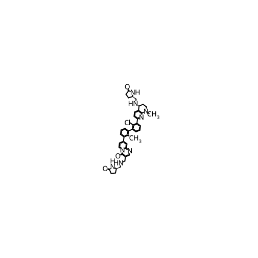 Cc1c(-c2ccn3c(=O)c(CNC[C@H]4CCC(=O)N4)cnc3c2)cccc1-c1cccc(-c2ccc3c(n2)N(C)CC[C@H]3NC[C@H]2CCC(=O)N2)c1Cl